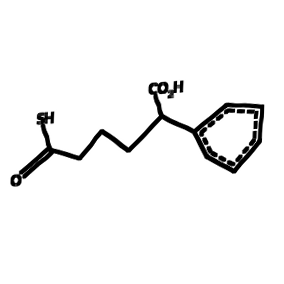 O=C(S)CCCC(C(=O)O)c1ccccc1